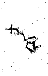 CC(C)(C)CNCCN1CNc2c1ccnc2Cl